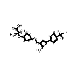 Cc1oc(-c2ccc(C(F)(F)F)cc2)cc1COc1ccc(OC(C)(C)C(=O)O)cc1